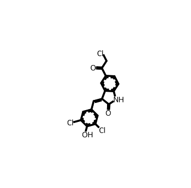 O=C1Nc2ccc(C(=O)CCl)cc2C1=Cc1cc(Cl)c(O)c(Cl)c1